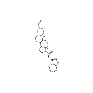 CC12CCC(CF)CC1CCC1C2CCC2(C)C(C(=O)Cn3nnc4ccncc43)CCC12